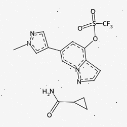 Cn1cc(-c2cc(OS(=O)(=O)C(F)(F)F)c3ccnn3c2)cn1.NC(=O)C1CC1